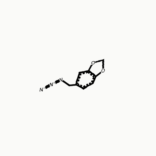 [N-]=[N+]=NCc1ccc2c(c1)OCO2